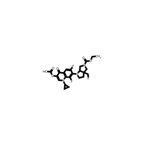 CCOC(=O)N1CC2N(c3c(F)cc4c(=O)c(OC(=O)O)cn(C5CC5)c4c3F)CCC2(CF)C1